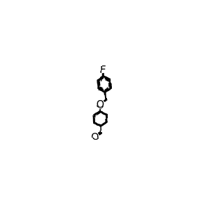 O=C[C@H]1CC[C@H](OCc2ccc(F)cc2)CC1